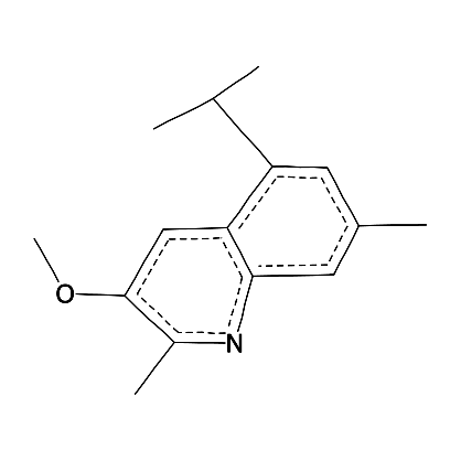 COc1cc2c(C(C)C)cc(C)cc2nc1C